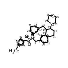 Cn1cc(S(=O)(=O)NCc2ccc3c(c2)C(Cc2ccccc2)C(N2CCOCC2)CC3)cn1